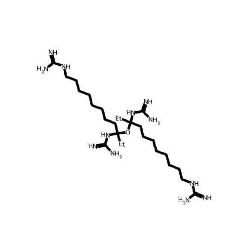 CCC(CCCCCCCCNC(=N)N)(NC(=N)N)OC(CC)(CCCCCCCCNC(=N)N)NC(=N)N